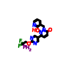 O=c1ccc(-c2cnc(OCC(F)(F)P)nc2)nn1Cc1cccnc1O